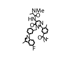 CNC(C)C(=O)Nc1cnc(-c2cc(C(=O)N(C)C)ccc2C)n(Cc2cccc(-n3cc(C)c4cc(F)ccc43)c2)c1=O